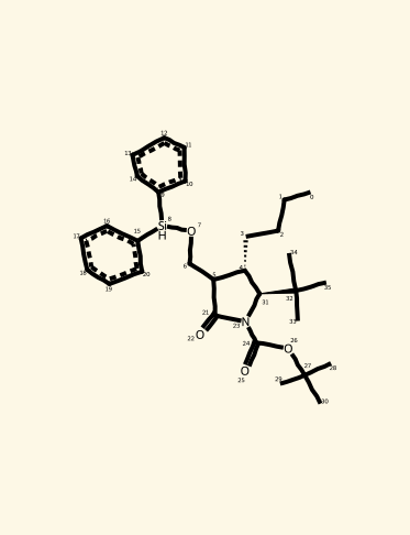 CCCC[C@H]1C(CO[SiH](c2ccccc2)c2ccccc2)C(=O)N(C(=O)OC(C)(C)C)[C@@H]1C(C)(C)C